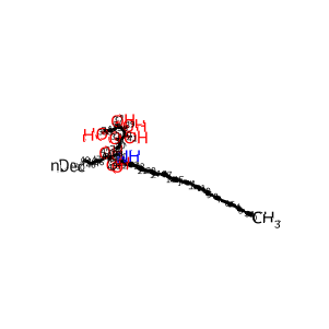 CC#CC#CC#CC#CC#CC#CC#CC#CC#CC#CC#CC#CC(=O)N[C@@H](CCC1OC(CO)C(O)C(O)C1O)[C@H](O)[C@H](O)CCCCCCCCCCCCCC